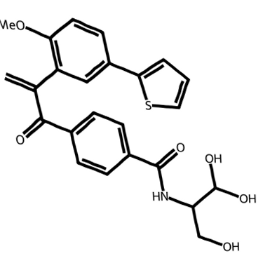 C=C(C(=O)c1ccc(C(=O)NC(CO)C(O)O)cc1)c1cc(-c2cccs2)ccc1OC